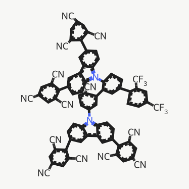 N#Cc1cc(C#N)c(-c2ccc3c(c2)c2cc(-c4c(C#N)cc(C#N)cc4C#N)ccc2n3-c2ccc(C#N)c(-c3cc(-c4ccc(C(F)(F)F)cc4C(F)(F)F)ccc3-n3c4ccc(-c5c(C#N)cc(C#N)cc5C#N)cc4c4cc(-c5c(C#N)cc(C#N)cc5C#N)ccc43)c2)c(C#N)c1